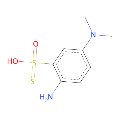 CN(C)c1ccc(N)c(S(=O)(O)=S)c1